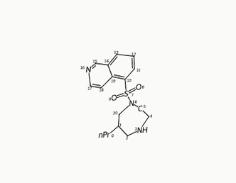 CCCC1CNCCN(S(=O)(=O)c2cccc3cnccc23)C1